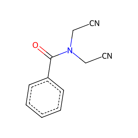 N#CCN(CC#N)C(=O)c1ccccc1